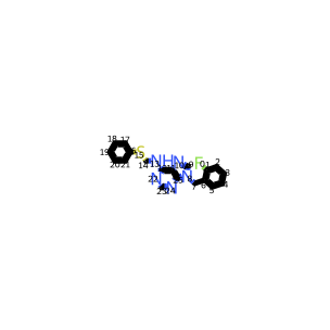 Fc1ccccc1Cn1cnc2c(NCSc3ccccc3)ncnc21